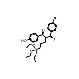 CCO[Si](CCCC(C(=O)c1ccc(O)cc1)C(=O)c1ccc(O)cc1)(OCC)OCC